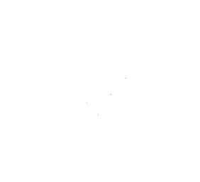 O[C](F)C(F)(F)C(F)(F)F